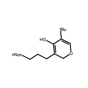 CCCCCCCCCCCCC1=C(O)C(C(C)(C)C)=COC1